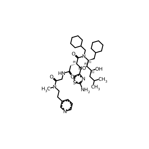 CC(C)C[C@H](O)[C@H](O)[C@H](CC1CCCCC1)N(CC1CCCCC1)C(=O)[C@@H](CC(=O)NCC(=O)N(C)CCc1cccnc1)Cc1csc(N)n1